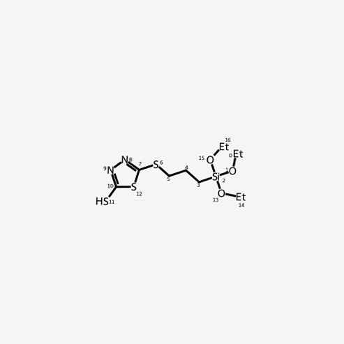 CCO[Si](CCCSc1nnc(S)s1)(OCC)OCC